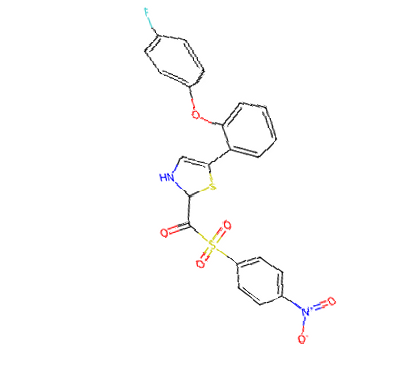 O=C(C1NC=C(c2ccccc2Oc2ccc(F)cc2)S1)S(=O)(=O)c1ccc([N+](=O)[O-])cc1